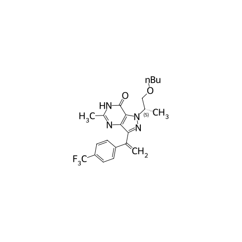 C=C(c1ccc(C(F)(F)F)cc1)c1nn([C@@H](C)COCCCC)c2c(=O)[nH]c(C)nc12